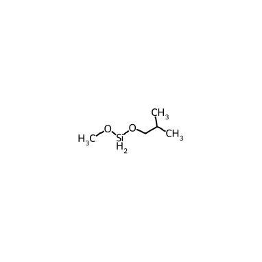 CO[SiH2]OCC(C)C